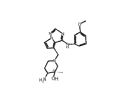 COc1cccc(Nc2ncnn3ccc(CN4CCC(N)[C@](C)(O)C4)c23)c1